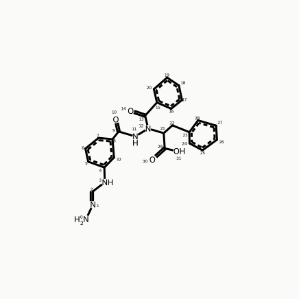 NN=CNc1cccc(C(=O)NN(C(=O)c2ccccc2)C(Cc2ccccc2)C(=O)O)c1